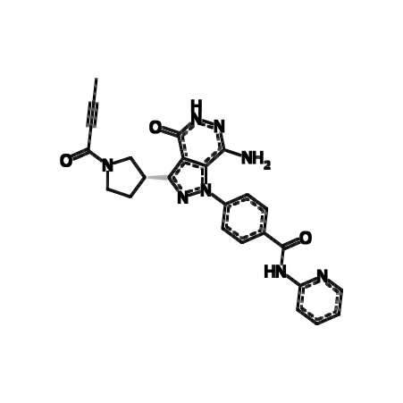 CC#CC(=O)N1CC[C@@H](c2nn(-c3ccc(C(=O)Nc4ccccn4)cc3)c3c(N)n[nH]c(=O)c23)C1